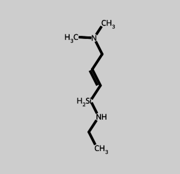 CCN[SiH2]C=CCN(C)C